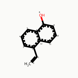 C=Cc1cccc2c(O)cccc12